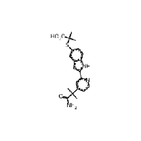 CC(C)(Sc1ccc2[nH]c(-c3cc(C(C)(C)C(N)=O)ccn3)cc2c1)C(=O)O